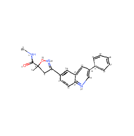 CC(C)NC(=O)C1(C)CC(c2ccc3ncc(-c4ccccc4)cc3c2)=NO1